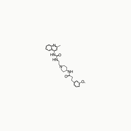 COc1cccc(CCC(=O)NC2CCN(CCNC(=O)Nc3cc(C)nc4ccccc34)CC2)c1